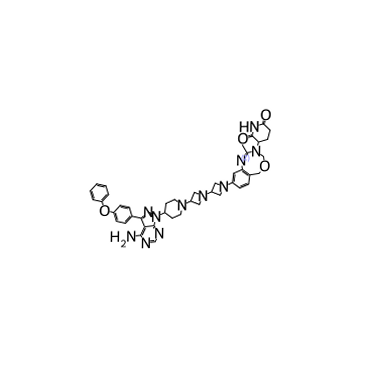 C/C1=N/c2cc(N3CC(N4CC(N5CCC(n6nc(-c7ccc(Oc8ccccc8)cc7)c7c(N)ncnc76)CC5)C4)C3)ccc2COCN1C1CCC(=O)NC1=O